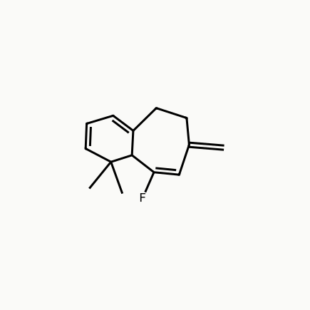 C=C1C=C(F)C2C(=CC=CC2(C)C)CC1